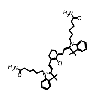 CC1(C)C(/C=C/C2=C(Cl)C(=C/C=C3/N(CCCCCC(N)=O)c4ccccc4C3(C)C)/CCC2)=[N+](CCCCCC(N)=O)c2ccccc21